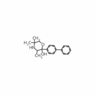 CC1NC(C)(C)COC1(O)c1ccc(-c2ccccc2)cc1